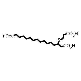 CCCCCCCCCCCCCCCCCCCCCCC(CC(=O)O)SCCC(=O)O